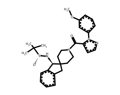 COc1cccc(-n2nccc2C(=O)N2CCC3(CC2)Cc2ccccc2[C@H]3N[S@+]([O-])C(C)(C)C)c1